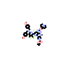 COc1ccc(CN(Cc2ccc(OC)cc2)c2cc(C)c(C(F)(F)F)c(-c3ncc4c(N(C)[C@@H]5CCN(C(=O)OC(C)(C)C)C5)nc(OCC56CCCN5CCC6)nc4c3F)n2)cc1